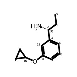 CC[C@@H](N)c1cccc(OC2CC2)c1